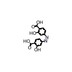 O=C(O)c1ccc(/N=N\c2ccc(C(=O)O)c(O)c2)cc1O